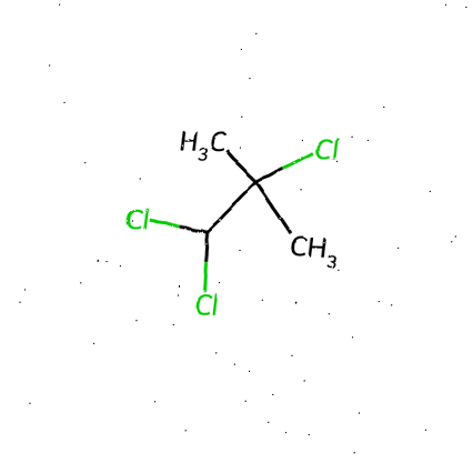 CC(C)(Cl)C(Cl)Cl